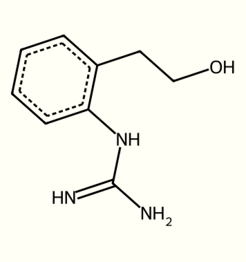 N=C(N)Nc1ccccc1CCO